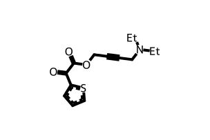 CCN(CC)CC#CCOC(=O)C(=O)c1cccs1